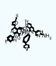 CN1CCC(c2ccc(Nc3nc(-c4cnc(N)nc4)cc4cc[nH]c(=O)c34)cc2)CC1.N#Cc1ccc(-c2cnc(Nc3ccc(F)cc3)c3c(=O)[nH]ccc23)o1